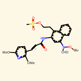 COc1ccc(/C=C/C(=O)Nc2cc(N(C=O)OC(C)(C)C)c3ccccc3c2CCOS(C)(=O)=O)c(OC)n1